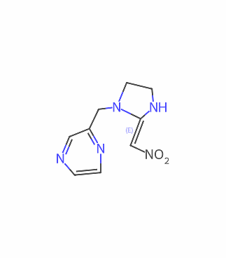 O=[N+]([O-])/C=C1\NCCN1Cc1cnccn1